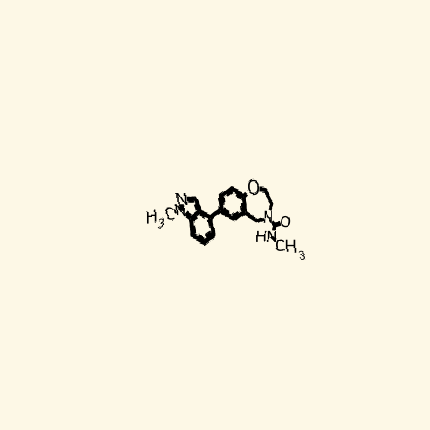 CNC(=O)N1CCOc2ccc(-c3cccc4c3cnn4C)cc2C1